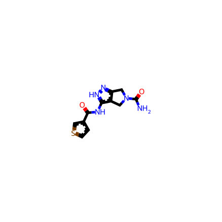 NC(=O)N1Cc2n[nH]c(NC(=O)c3ccsc3)c2C1